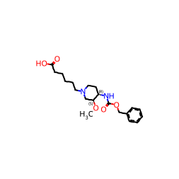 CO[C@H]1CN(CCCCCC(=O)O)CC[C@H]1NC(=O)OCc1ccccc1